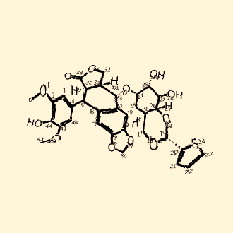 COc1cc(C2c3cc4c(cc3[C@@H](O[C@@H]3C[C@@H]5CO[C@@H](c6cccs6)O[C@H]5[C@H](O)[C@H]3O)[C@H]3COC(=O)[C@H]23)OCO4)cc(OC)c1O